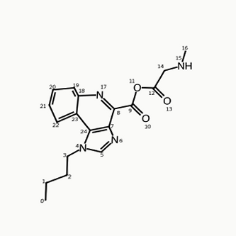 CCCCn1cnc2c(C(=O)OC(=O)CNC)nc3ccccc3c21